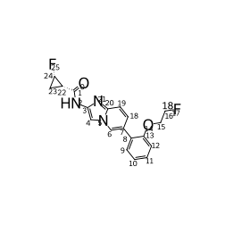 O=C(Nc1cn2cc(-c3ccccc3OCC[18F])ccc2n1)[C@@H]1C[C@@H]1F